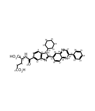 O=C(O)CC[C@H](NC(=O)c1ccc2c(c1)nc(-c1ccc3nc(-c4ccccc4)cnc3c1)n2C1CCCCC1)C(=O)O